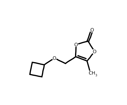 Cc1oc(=O)oc1COC1CCC1